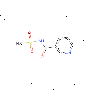 CS(=O)(=O)NC(=O)c1c[c]cnc1